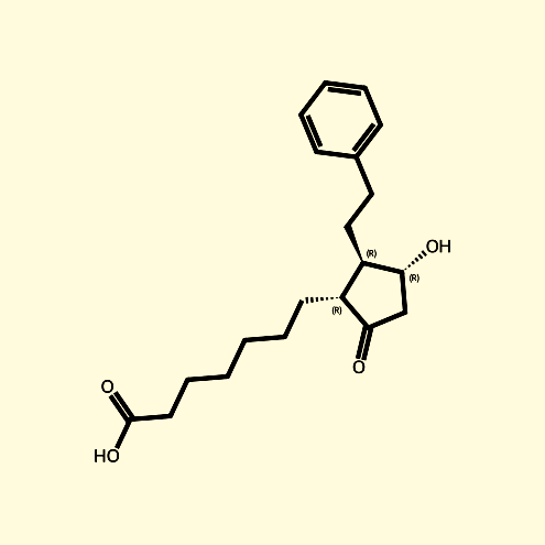 O=C(O)CCCCCC[C@H]1C(=O)C[C@@H](O)[C@@H]1CCc1ccccc1